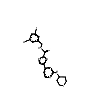 O=C(NCc1cc(F)cc(Cl)c1)c1nc(-c2ccnc(NC3CCOCC3)n2)co1